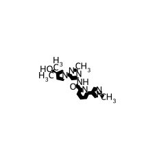 Cc1nc(NC(=O)c2cccc(-c3cnn(C)c3)n2)cc(N2CC[C@@H](C(C)(C)O)C2)n1